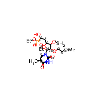 BO[C@@H]1C(CC(O)P(=O)(OCC)OCC)O[C@@H](n2cc(C)c(=O)[nH]c2=O)[C@@H]1OCCOC